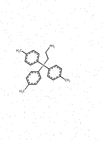 Cc1ccc([Si](CCP)(c2ccc(C)cc2)c2ccc(C)cc2)cc1